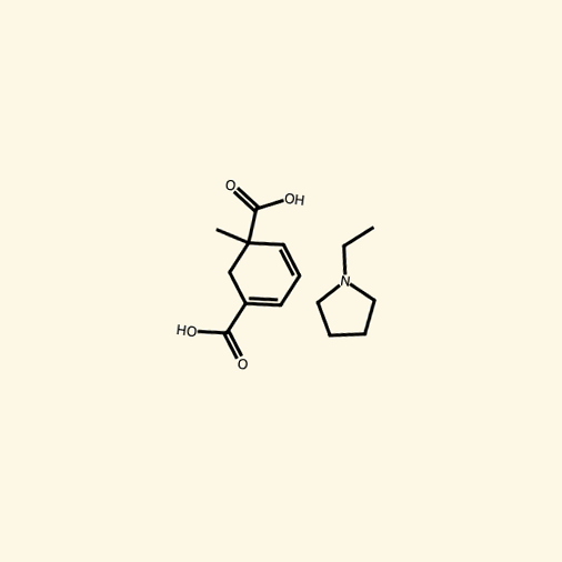 CC1(C(=O)O)C=CC=C(C(=O)O)C1.CCN1CCCC1